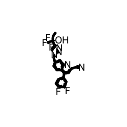 CC[C@](O)(c1cn(Cc2ccc3c(-c4ccc(F)c(F)c4)cc(C#N)nc3c2)nn1)C(F)(F)F